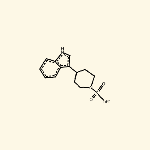 CCCS(=O)(=O)N1CCC(c2c[nH]c3ccccc23)CC1